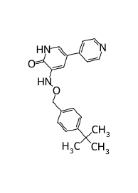 CC(C)(C)c1ccc(CONc2cc(-c3ccncc3)c[nH]c2=O)cc1